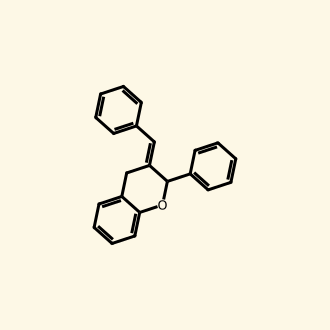 C(=C1Cc2ccccc2OC1c1ccccc1)c1ccccc1